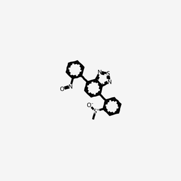 C[S+]([O-])c1ccccc1-c1ccc(-c2ccccc2N=O)c2nsnc12